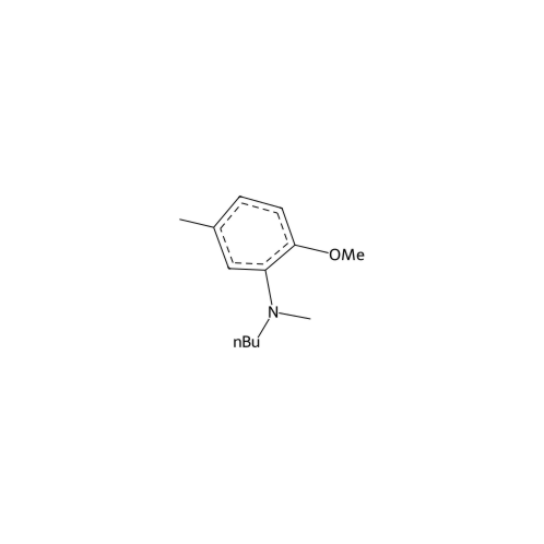 CCCCN(C)c1cc(C)ccc1OC